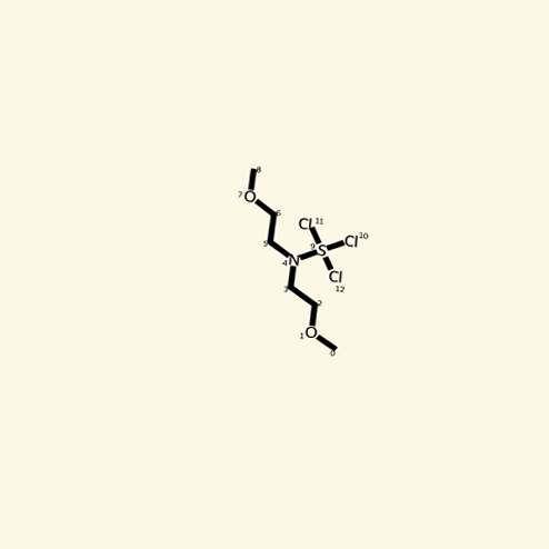 COCCN(CCOC)S(Cl)(Cl)Cl